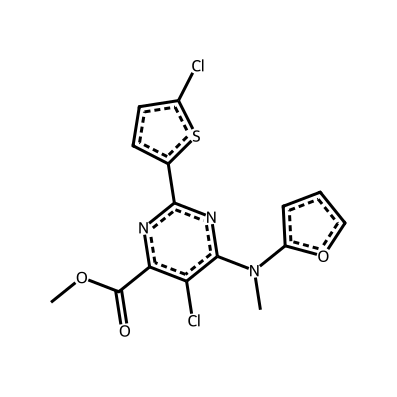 COC(=O)c1nc(-c2ccc(Cl)s2)nc(N(C)c2ccco2)c1Cl